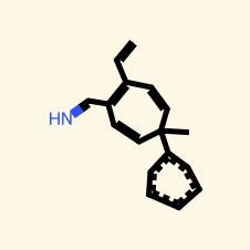 C=CC1=C(C=N)C=CC(C)(c2ccccc2)C=C1